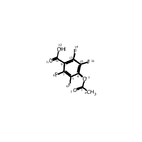 CC(=O)Oc1c(F)c(F)c(C(=O)O)c(F)c1F